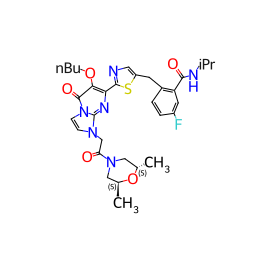 CCCCOc1c(-c2ncc(Cc3ccc(F)cc3C(=O)NC(C)C)s2)nc2n(CC(=O)N3C[C@H](C)O[C@@H](C)C3)ccn2c1=O